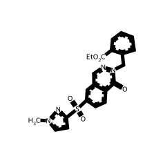 CCOC(=O)c1ccccc1Cn1ncc2cc(S(=O)(=O)c3ccn(C)n3)ccc2c1=O